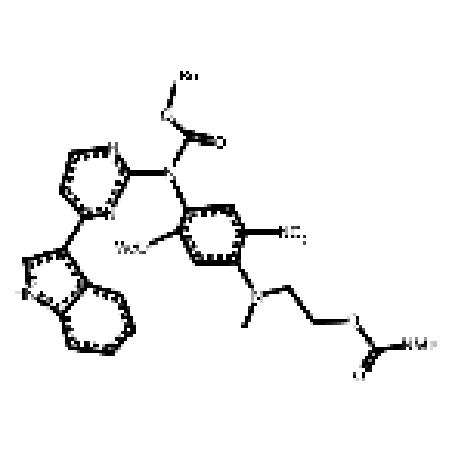 CNC(=O)OCCN(C)c1cc(OC)c(N(C(=O)OC(C)(C)C)c2nccc(-c3c[nH]c4ccccc34)n2)cc1[N+](=O)[O-]